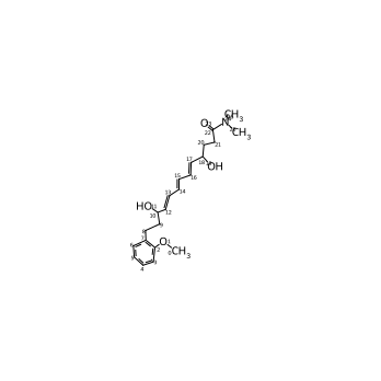 COc1ccccc1CCC(O)C=CC=CC=CC(O)CCC(=O)N(C)C